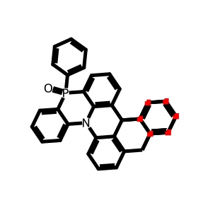 O=P1(c2ccccc2)c2ccccc2N2c3cccc4c3C3(c5ccccc5C4c4ccccc43)c3cccc1c32